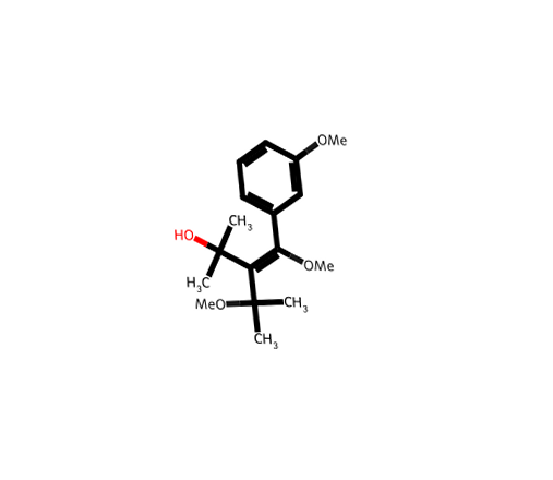 CO/C(=C(/C(C)(C)O)C(C)(C)OC)c1cccc(OC)c1